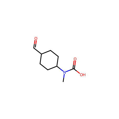 CN(C(=O)O)C1CCC(C=O)CC1